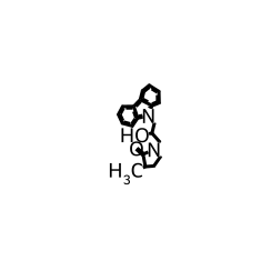 CC1CCN(CC(O)Cn2c3ccccc3c3ccccc32)C1=O